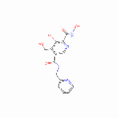 O=C(NCc1ccccn1)c1cnc(C(=O)NO)c(O)c1CO